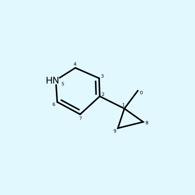 CC1(C2=CCNC=C2)CC1